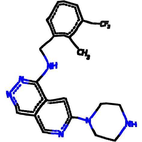 Cc1c(CNc2nncc3cnc(N4CCNCC4)cc23)cccc1C(F)(F)F